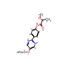 CCCCCOc1cnc(-c2ccc(OC(=O)C(C)OCC)cc2)nc1